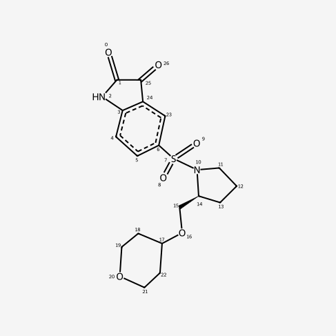 O=C1Nc2ccc(S(=O)(=O)N3CCC[C@H]3COC3CCOCC3)cc2C1=O